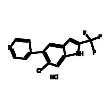 Cl.FC(F)(F)c1cc2cc(-c3ccncc3)c(Cl)cc2[nH]1